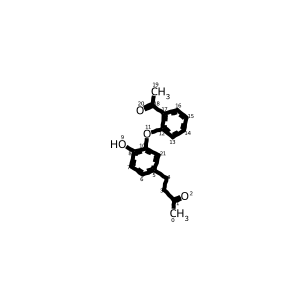 CC(=O)CCc1ccc(O)c(Oc2ccccc2C(C)=O)c1